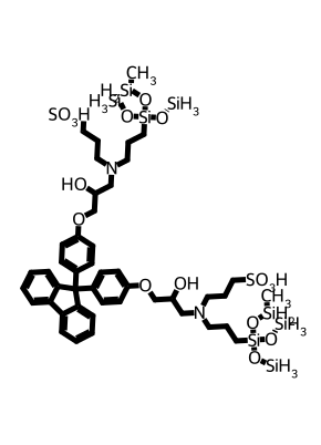 C[SiH2]O[Si](CCCN(CCCS(=O)(=O)O)CC(O)COc1ccc(C2(c3ccc(OCC(O)CN(CCC[Si](O[SiH3])(O[SiH3])O[SiH2]C)CCCS(=O)(=O)O)cc3)c3ccccc3-c3ccccc32)cc1)(O[SiH3])O[SiH3]